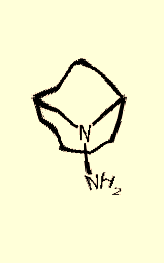 NN1C2CCC1C2